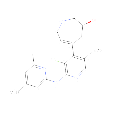 CNc1cc(C)nc(Nc2ncc(OC)c(C3=CCNC[C@@H](O)C3)c2F)c1